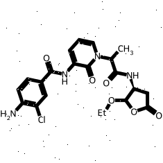 CCOC1OC(=O)C[C@@H]1NC(=O)C(C)n1cccc(NC(=O)c2ccc(N)c(Cl)c2)c1=O